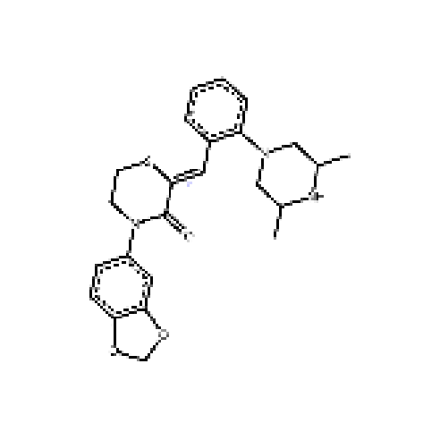 CC1CN(c2ccccc2/C=C2\SCCN(c3ccc4c(c3)OCO4)C2=O)CC(C)N1